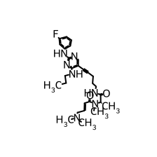 CCCNc1nc(Nc2cccc(F)c2)ncc1C#CCCCNC(=O)[C@H](C)N(C)C(=O)/C=C/CN(C)C